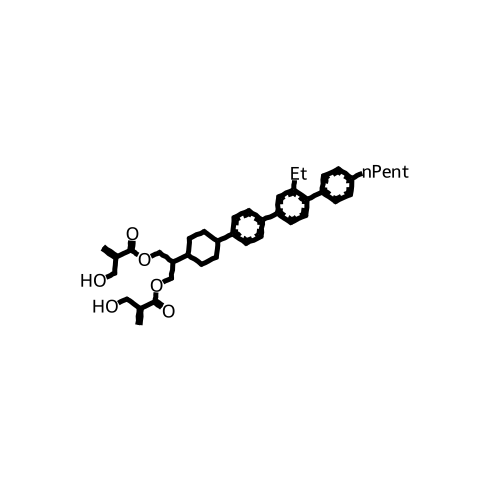 C=C(CO)C(=O)OCC(COC(=O)C(=C)CO)C1CCC(c2ccc(-c3ccc(-c4ccc(CCCCC)cc4)c(CC)c3)cc2)CC1